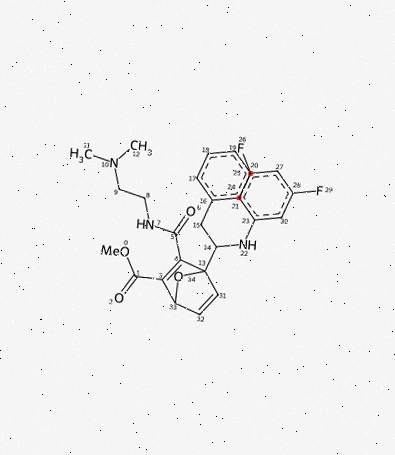 COC(=O)C1=C(C(=O)NCCN(C)C)C2(C(Cc3ccccc3)Nc3cc(F)cc(F)c3)C=CC1O2